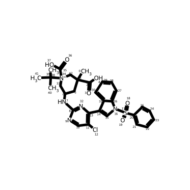 CC1(C(=O)O)CC(Nc2ncc(Cl)c(-c3cn(S(=O)(=O)c4ccccc4)c4ccccc34)n2)C[N+](C(=O)O)(C(C)(C)C)C1